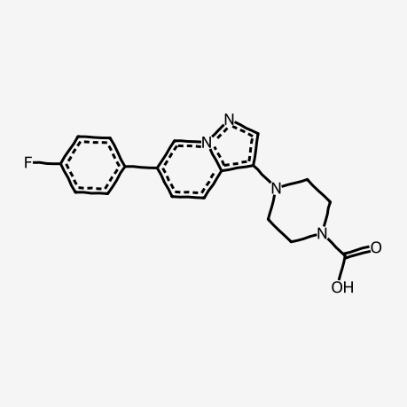 O=C(O)N1CCN(c2cnn3cc(-c4ccc(F)cc4)ccc23)CC1